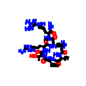 CC[C@H](C)[C@H](NC(=O)[C@H](CCCNC(=N)N)NC(=O)[C@@H](NC(=O)[C@@H](NC(=O)[C@@H](NC(=O)CN)C(C)C)[C@@H](C)CC)[C@@H](C)O)C(=O)N[C@@H](CCCNC(=N)N)C(N)=O